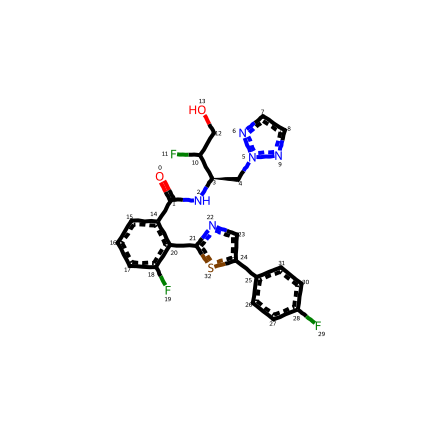 O=C(N[C@H](Cn1nccn1)C(F)CO)c1cccc(F)c1-c1ncc(-c2ccc(F)cc2)s1